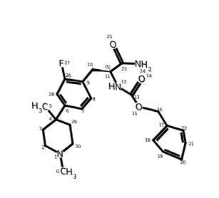 CN1CCC(C)(c2ccc(C[C@H](NC(=O)OCc3ccccc3)C(N)=O)c(F)c2)CC1